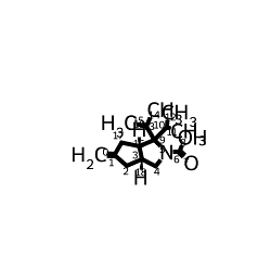 C=C1C[C@H]2CN(C(=O)O)C(C(C)C)(C(C)C)[C@H]2C1